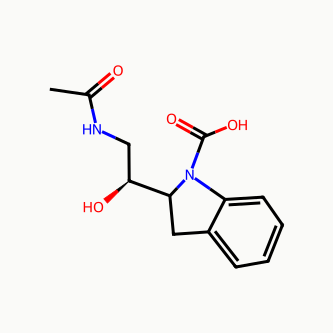 CC(=O)NC[C@H](O)C1Cc2ccccc2N1C(=O)O